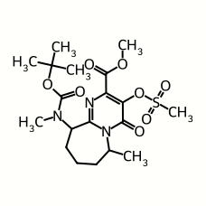 COC(=O)c1nc2n(c(=O)c1OS(C)(=O)=O)C(C)CCCC2N(C)C(=O)OC(C)(C)C